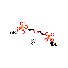 CCCCOP(=O)([O-])OCCOCCOP(=O)([O-])OCCCC.[K+].[K+]